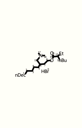 Br.CCCCCCCCCCCCCCC(CCOC(=O)C(CC)CCCC)CN(C)C